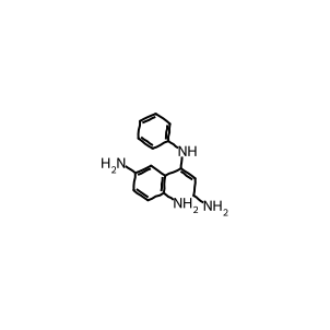 NCC=C(Nc1ccccc1)c1cc(N)ccc1N